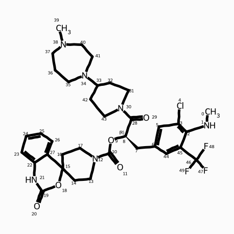 CNc1c(Cl)cc(C[C@@H](OC(=O)N2CCC3(CC2)OC(=O)Nc2ccccc23)C(=O)N2CCC(N3CCCN(C)CC3)CC2)cc1C(F)(F)F